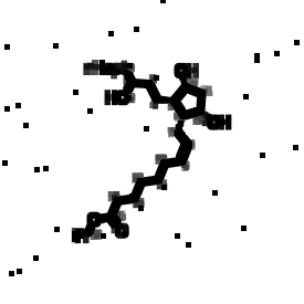 CCCCCCCC(O)CC[C@@H]1[C@@H](C/C=C\CCCCCC(=O)OC(C)C)[C@@H](O)C[C@H]1O